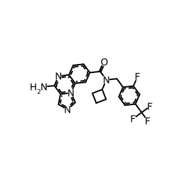 Nc1nc2ccc(C(=O)N(Cc3ccc(C(F)(F)F)cc3F)C3CCC3)cc2n2cncc12